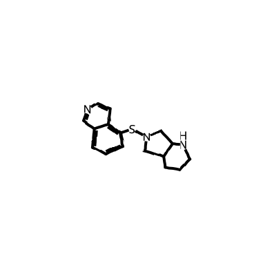 c1cc(SN2CC3CCCNC3C2)c2ccncc2c1